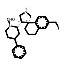 O=CN1CCC(c2ccccc2)CC1[C@@H]1CNC[C@]12CCCc1cc(CF)ccc12